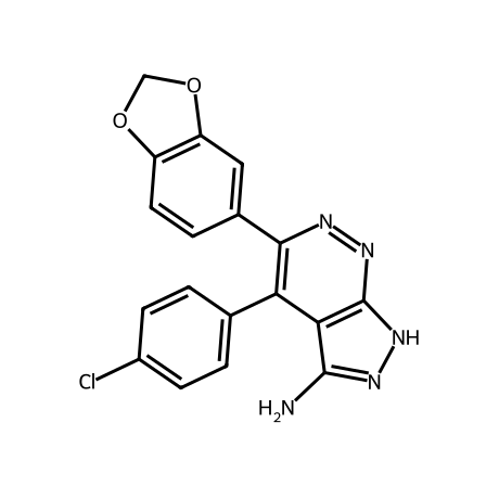 Nc1n[nH]c2nnc(-c3ccc4c(c3)OCO4)c(-c3ccc(Cl)cc3)c12